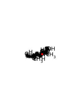 COc1cc(N[C@H]2CCc3c(-c4cccc(-c5ccc(CNC[C@@H]6CCC(=O)N6)c(OC)n5)c4Cl)cccc32)c(C(F)(F)F)nc1CNC1(C(=O)O)CC1